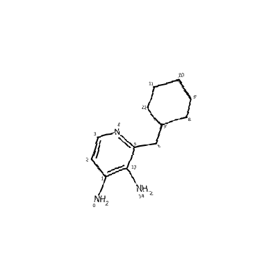 Nc1ccnc(CC2CCCCC2)c1N